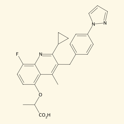 Cc1c(Cc2ccc(-n3cccn3)cc2)c(C2CC2)nc2c(F)ccc(OC(C)C(=O)O)c12